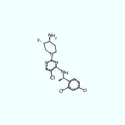 C[C@@H](Nc1nc(N2CC[C@H](N)[C@@H](F)C2)ncc1Cl)c1ccc(Cl)cc1Cl